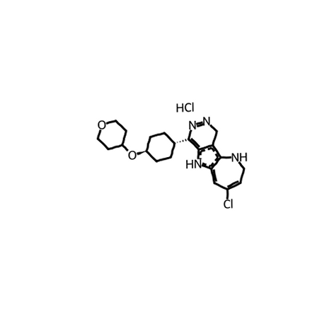 Cl.ClC1=CCNc2c3c([nH]c2=C1)=C([C@H]1CC[C@H](OC2CCOCC2)CC1)N=NC3